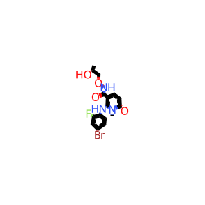 CC(O)CONC(=O)c1ccc(=O)n(C)c1Nc1ccc(Br)cc1F